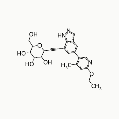 CCOc1cc(C)c(-c2cc(C#CC3OC(CO)[C@@H](O)C(O)C3O)c3[nH]ncc3c2)cn1